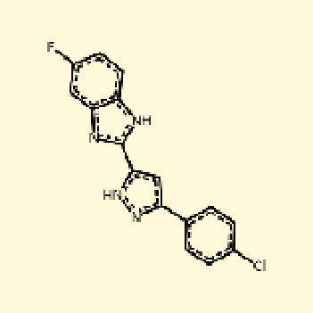 Fc1ccc2[nH]c(-c3cc(-c4ccc(Cl)cc4)n[nH]3)nc2c1